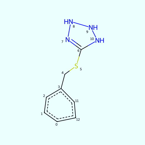 c1ccc(CSC2=NNNN2)cc1